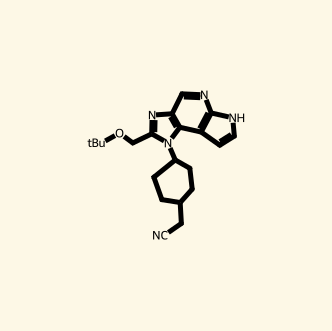 CC(C)(C)OCc1nc2cnc3[nH]ccc3c2n1C1CCC(CC#N)CC1